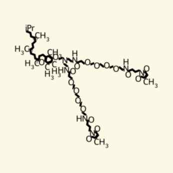 CC1=CC(=O)N(CCCC(=O)NCCOCCOCCOCCOCCC(=O)NCCN(CCNC(=O)CCOCCOCCOCCOCCNC(=O)CCCN2C(=O)C=C(C)C2=O)CCOc2c(C)c(C)c3c(c2C)CC[C@](C)(CCC[C@@H](C)CCC[C@@H](C)CCCC(C)C)O3)C1=O